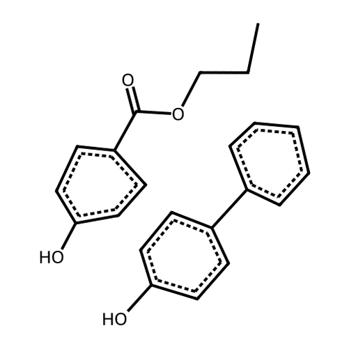 CCCOC(=O)c1ccc(O)cc1.Oc1ccc(-c2ccccc2)cc1